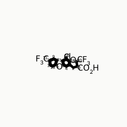 O=C(O)C1Cc2cc(Oc3ccc(C(F)(F)F)cc3)cc(Cl)c2OC1C(F)(F)F